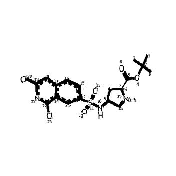 CC(C)(C)OC(=O)[C@@H]1CC(NS(=O)(=O)c2ccc3cc(Cl)nc(Cl)c3c2)CN1